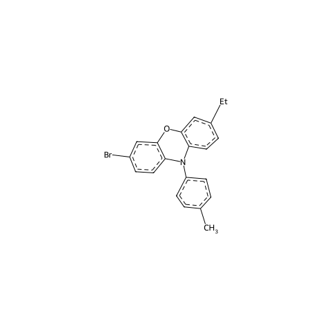 CCc1ccc2c(c1)Oc1cc(Br)ccc1N2c1ccc(C)cc1